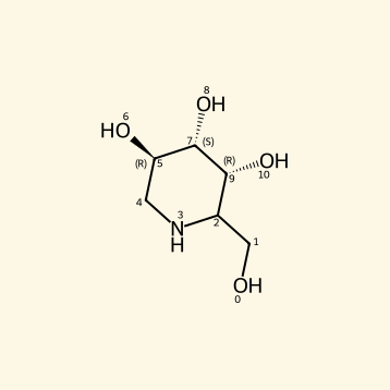 OCC1NC[C@@H](O)[C@H](O)[C@@H]1O